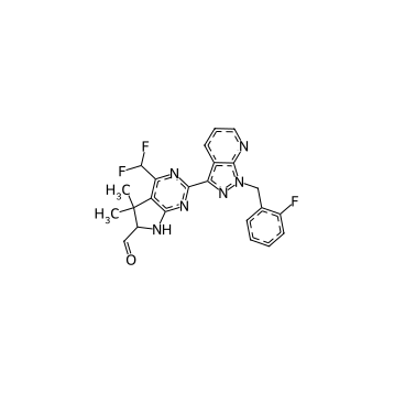 CC1(C)c2c(nc(-c3nn(Cc4ccccc4F)c4ncccc34)nc2C(F)F)NC1C=O